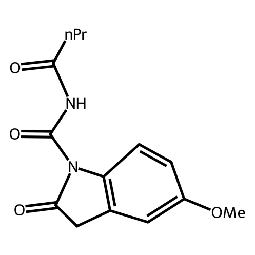 CCCC(=O)NC(=O)N1C(=O)Cc2cc(OC)ccc21